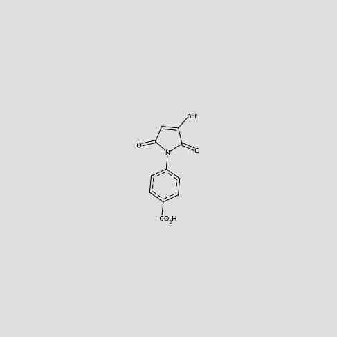 CCCC1=CC(=O)N(c2ccc(C(=O)O)cc2)C1=O